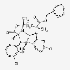 CC(C)(C[C@@H]1N2[C@@H](C(=O)OC2(C)C)[C@H](c2cccc(Cl)c2F)[C@@]1(N)c1ccc(Cl)cc1F)C(=O)OCc1ccccc1